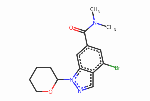 CN(C)C(=O)c1cc(Br)c2cnn(C3CCCCO3)c2c1